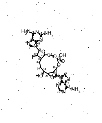 Nc1nc(N)c2ncn(C3OC4COP(=O)(O)OC5C(O)C(OC5n5cnc6c(N)ncnc65)C(O)CCC4C3F)c2n1